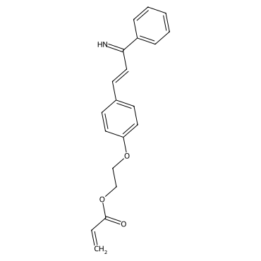 C=CC(=O)OCCOc1ccc(C=CC(=N)c2ccccc2)cc1